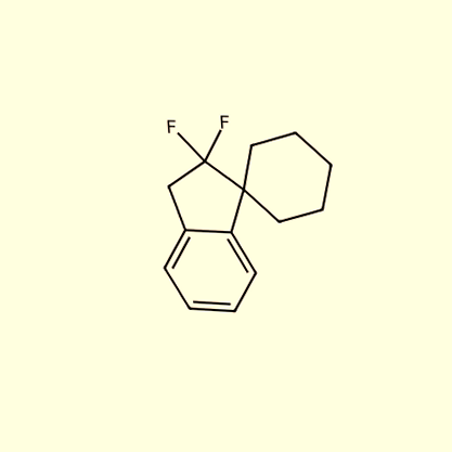 FC1(F)Cc2ccccc2C12CCCCC2